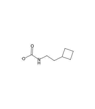 [O]C(=O)NCCC1CCC1